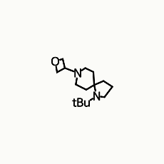 CC(C)(C)N1CCCC12CCN(C1COC1)CC2